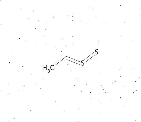 CC=S=S